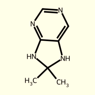 CC1(C)Nc2cncnc2N1